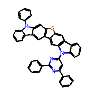 c1ccc(-c2cc(-n3c4ccccc4c4cc5sc6cc7c(cc6c5cc43)c3ccccc3n7-c3ccccc3)nc(-c3ccccc3)n2)cc1